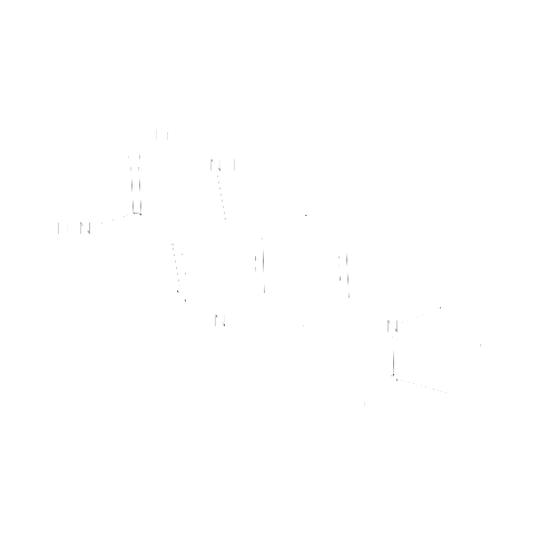 CC(C)Nc1c(C(N)=O)nnc2cc(N3CCCC3=O)ccc12